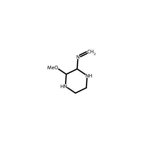 C=NC1NCCNC1OC